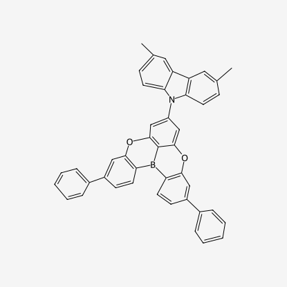 Cc1ccc2c(c1)c1cc(C)ccc1n2-c1cc2c3c(c1)Oc1cc(-c4ccccc4)ccc1B3c1ccc(-c3ccccc3)cc1O2